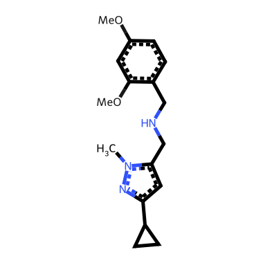 COc1ccc(CNCc2cc(C3CC3)nn2C)c(OC)c1